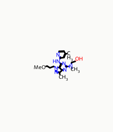 COCCCn1nc(C)c2nc(N(C)CCO)nc(Nc3cc(C)ccn3)c21